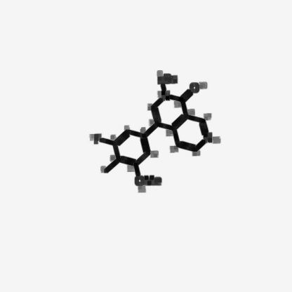 CCCCn1cc(-c2cc(F)c(C)c(OC)c2)c2ccncc2c1=O